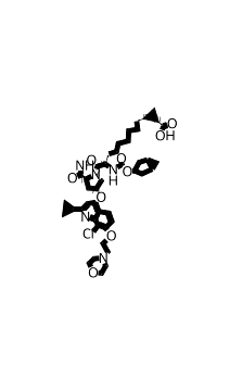 NC(=O)[C@@H]1C[C@@H](Oc2cc(C3CC3)nc3c(Cl)c(OCCN4CCOCC4)ccc23)CN1C(=O)[C@H](CCCCCCC[C@@H]1C[C@@H]1C(=O)O)NC(=O)OC1CC2CC2C1